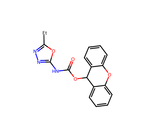 CCc1nnc(NC(=O)OC2c3ccccc3Oc3ccccc32)o1